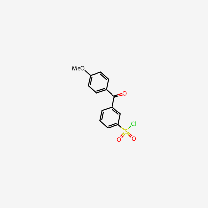 COc1ccc(C(=O)c2cccc(S(=O)(=O)Cl)c2)cc1